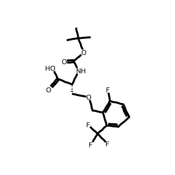 CC(C)(C)OC(=O)N[C@H](COCc1c(F)cccc1C(F)(F)F)C(=O)O